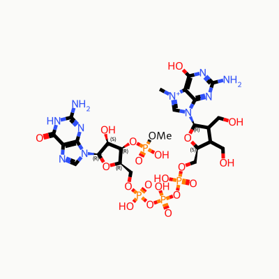 COP(=O)(O)O[C@@H]1[C@H](O)[C@H](n2cnc3c(=O)[nH]c(N)nc32)O[C@@H]1COP(=O)(O)OP(=O)(O)OP(=O)(O)OC[C@H]1O[C@@H](n2c[n+](C)c3c(O)nc(N)nc32)C(CO)C1CO